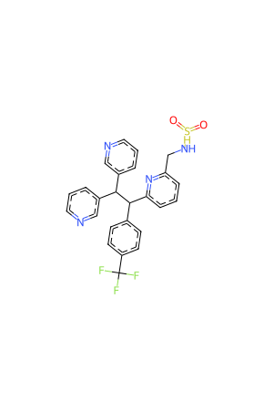 O=[SH](=O)NCc1cccc(C(c2ccc(C(F)(F)F)cc2)C(c2cccnc2)c2cccnc2)n1